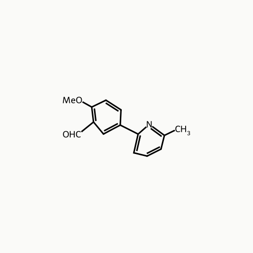 COc1ccc(-c2cccc(C)n2)cc1C=O